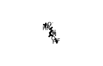 Cc1cc(C(C)N[S+]([O-])C(C)(C)C)nnc1OCC(C)(F)F